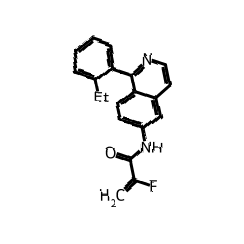 C=C(F)C(=O)Nc1ccc2c(-c3ccccc3CC)nccc2c1